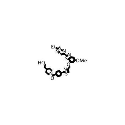 CCc1nn2cc(-c3nc4cc(OC)cc(OCc5csc(-c6ccc(C(=O)N7CCC(CCO)CC7)cc6)n5)c4s3)nc2s1